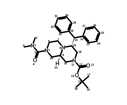 CN(C)C(=O)N1CCN2[C@@H](CN(C(=O)OC(C)(C)C)C[C@H]2C(c2ccccc2)c2ccccc2)C1